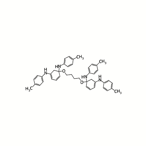 Cc1ccc(NC2=CC=CC(Nc3ccc(C)cc3)(OCCCCOC3(Nc4ccc(C)cc4)C=CC=C(Nc4ccc(C)cc4)C3)C2)cc1